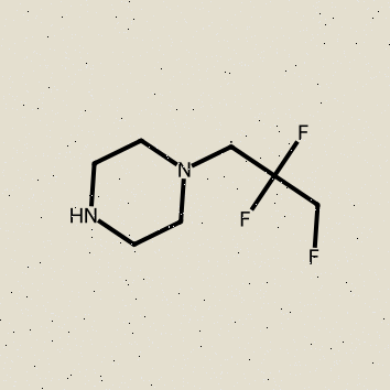 FCC(F)(F)[CH]N1CCNCC1